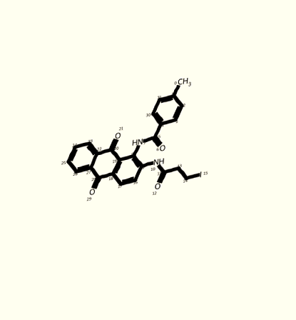 Cc1ccc(C(=O)Nc2c(NC(=O)CCI)ccc3c2C(=O)c2ccccc2C3=O)cc1